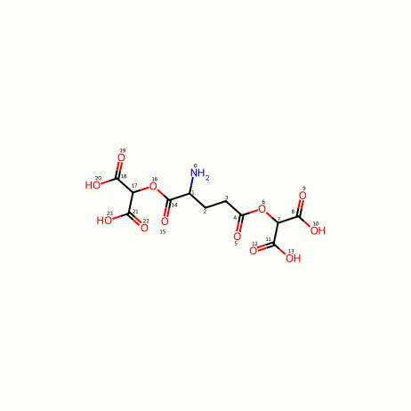 NC(CCC(=O)OC(C(=O)O)C(=O)O)C(=O)OC(C(=O)O)C(=O)O